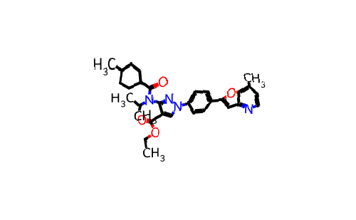 CCOC(=O)c1cn(-c2ccc(-c3cc4nccc(C)c4o3)cc2)nc1N(C(=O)C1CCC(C)CC1)C(C)C